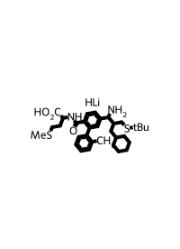 CSCCC(NC(=O)c1ccc(C(N)C(CSC(C)(C)C)CC2CCCCC2)cc1-c1ccccc1C)C(=O)O.[LiH]